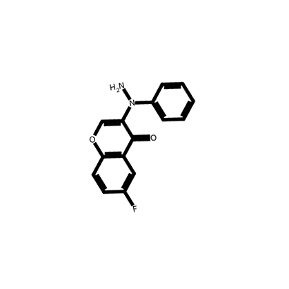 NN(c1ccccc1)c1coc2ccc(F)cc2c1=O